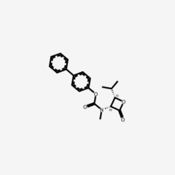 CC(C)[C@@H]1OC(=O)[C@@H]1N(C)C(=O)Oc1ccc(-c2ccccc2)cc1